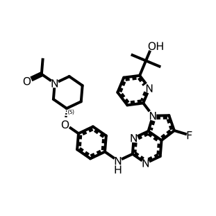 CC(=O)N1CCC[C@H](Oc2ccc(Nc3ncc4c(F)cn(-c5cccc(C(C)(C)O)n5)c4n3)cc2)C1